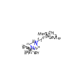 CO[Si](C)(CCCCN1CCN([Si](C(C)C)(C(C)C)C(C)C)CC1)OC